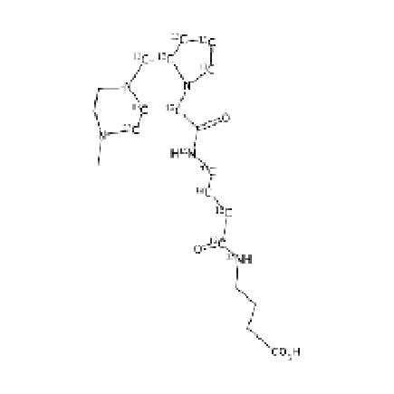 CN1CCN([13CH2][13CH]2[13CH2][13CH2][13CH2]N2[13CH2]C(=O)[15NH][13CH2][13CH2][13CH2][13C](=O)[15NH]CCCC(=O)O)[13CH2][13CH2]1